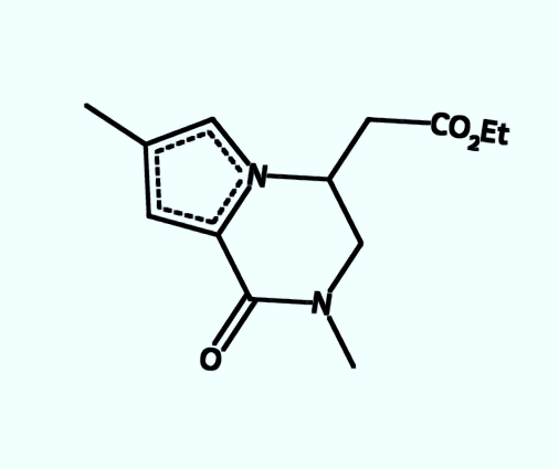 CCOC(=O)CC1CN(C)C(=O)c2cc(C)cn21